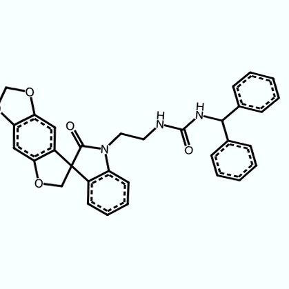 O=C(NCCN1C(=O)C2(COc3cc4c(cc32)OCO4)c2ccccc21)NC(c1ccccc1)c1ccccc1